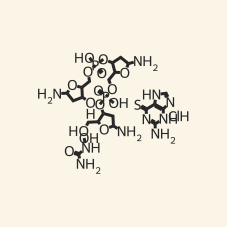 Cl.NC(=O)NO.NC1CC(O)C(COP(=O)(O)OC2CC(N)OC2COP(=O)(O)OC2CC(N)OC2CO)O1.Nc1nc(=S)c2[nH]cnc2[nH]1